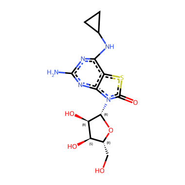 Nc1nc(NC2CC2)c2sc(=O)n([C@@H]3O[C@H](CO)[C@@H](O)[C@H]3O)c2n1